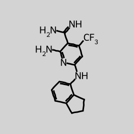 N=C(N)c1c(C(F)(F)F)cc(Nc2cccc3c2CCC3)nc1N